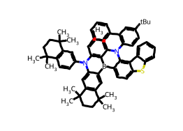 Cc1cc2c3c(c1)N(c1ccc(C(C)(C)C)cc1-c1ccccc1)c1c(ccc4sc5ccccc5c14)B3c1cc3c(cc1N2c1ccc2c(c1)C(C)(C)CCC2(C)C)C(C)(C)CCC3(C)C